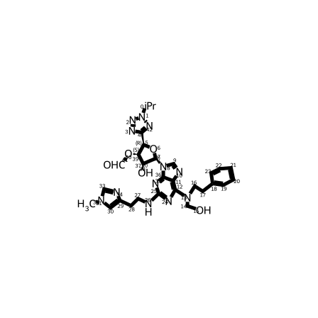 CC(C)n1nnc([C@H]2O[C@@H](n3cnc4c(N(CO)CCc5ccccc5)nc(NCCc5cn(C)cn5)nc43)[C@H](O)[C@@H]2OC=O)n1